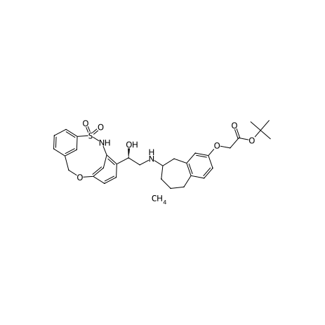 C.CC(C)(C)OC(=O)COc1ccc2c(c1)CC(NC[C@H](O)c1ccc3cc1NS(=O)(=O)c1cccc(c1)CO3)CCC2